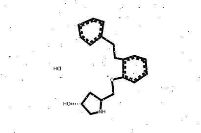 Cl.O[C@H]1CNC(COc2ccccc2CCc2ccccc2)C1